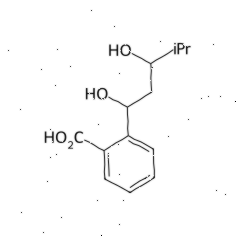 CC(C)C(O)CC(O)c1ccccc1C(=O)O